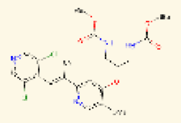 COc1cnc(/C(C#N)=C/c2c(Cl)cncc2Cl)cc1OC(CNC(=O)OC(C)(C)C)CNC(=O)OC(C)(C)C